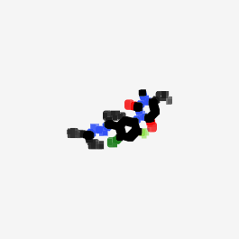 COC(=NN=C(C(C)(C)C)C(C)(C)C)c1cc(-n2c(=O)cc(C(F)(F)F)n(C)c2=O)c(F)cc1Cl